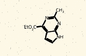 CCOC(=O)c1nc(C)nc2[nH]ccc12